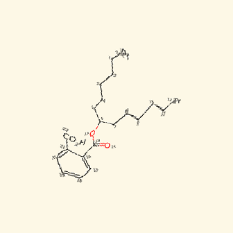 CC(C)CCCCCC(CCCCCC(C)C)OC(=O)c1ccccc1C(=O)O